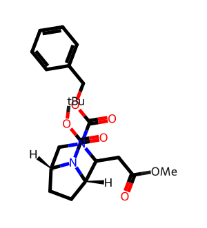 COC(=O)CC1[C@@H]2CC[C@H](CN1C(=O)OCc1ccccc1)N2C(=O)OC(C)(C)C